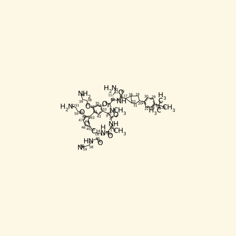 C[C@@H]1NC(=O)[C@@H](N(C)C(=O)[C@H](CCN)NC(=O)C2C3CC(c4ccc(C(C)(C)C)cc4)CC32)c2ccc(OCCN)c(c2)-c2cc(ccc2OCCN)C[C@@H](C(=O)NCC#N)NC1=O